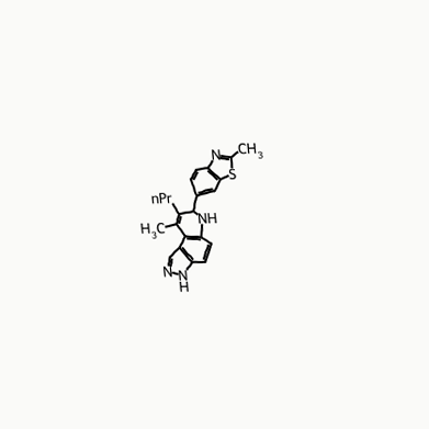 CCCC1=C(C)c2c(ccc3[nH]ncc23)NC1c1ccc2nc(C)sc2c1